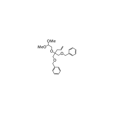 C=CCC(COCc1ccccc1)(COCc1ccccc1)OCC(OC)OC